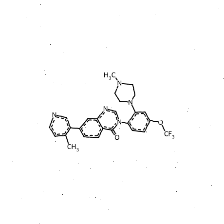 Cc1ccncc1-c1ccc2c(=O)n(-c3c[c]c(OC(F)(F)F)cc3N3CCN(C)CC3)cnc2c1